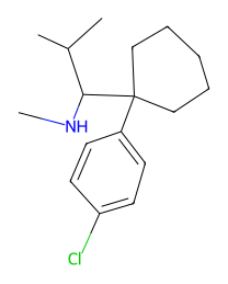 CNC(C(C)C)C1(c2ccc(Cl)cc2)CCCCC1